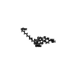 CCCCCCCCCCCCCCCCSSCCOP(=O)(OC)OC1OC(n2ccc(NO)nc2=O)[C@H](OC(C)=O)[C@H]1OC(C)=O